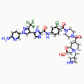 Cn1c(-c2cn(-c3ccc(N)nc3)nc2C(F)(F)F)cnc1C(=O)Nc1ccc(C(=O)N2CCN(C(=O)C3CC[N+](CC(=O)O)(CC4CNC4)CC3)CC2)c(Cl)c1